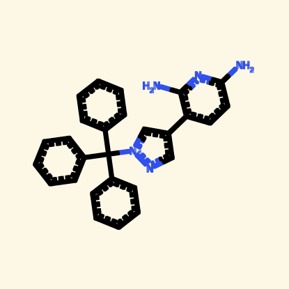 Nc1ccc(-c2cnn(C(c3ccccc3)(c3ccccc3)c3ccccc3)c2)c(N)n1